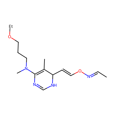 C/C=N/O/C=C/C1NC=NC(N(C)CCCOCC)=C1C